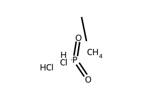 C.CC.Cl.Cl.O=[P]=O